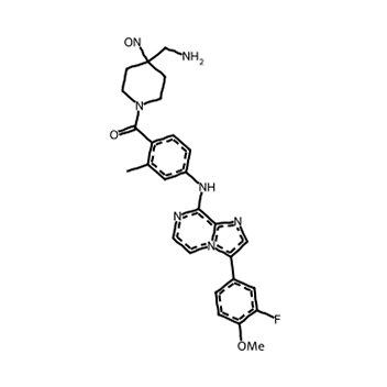 COc1ccc(-c2cnc3c(Nc4ccc(C(=O)N5CCC(CN)(N=O)CC5)c(C)c4)nccn23)cc1F